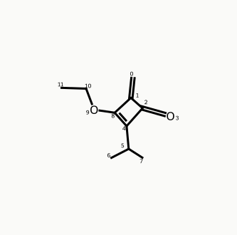 C=C1C(=O)C(C(C)C)=C1OCC